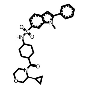 Cn1c(-c2ccccc2)cc2ccc(S(=O)(=O)NC3CCC(C(=O)N4CCOC[C@@H]4C4CC4)CC3)cc21